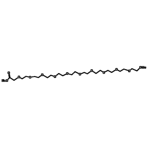 COCCOCCOCCOCCOCCOCCOCCOCCOCCOCCOCC(=O)OCC(C)C